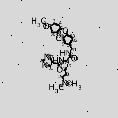 COc1ccc(Oc2ccc(CNC(=O)[C@H](CCCCN(C)C)NC(=O)c3cncnc3)cc2)c(Cl)c1